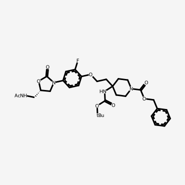 CC(=O)NC[C@H]1CN(c2ccc(OCCC3(NC(=O)OC(C)(C)C)CCN(C(=O)OCc4ccccc4)CC3)c(F)c2)C(=O)O1